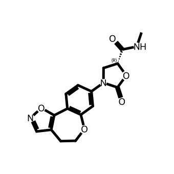 CNC(=O)[C@H]1CN(c2ccc3c(c2)OCCc2cnoc2-3)C(=O)O1